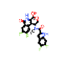 CN(C(=O)c1cc2cc(F)c(F)cc2[nH]1)[C@H]1CO[C@H](O)c2[nH]c(=O)c3cc(F)c(F)cc3c21